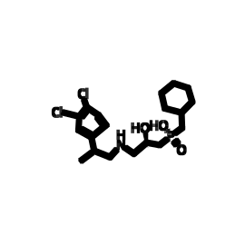 CC(CNC[C@@H](O)CP(=O)(O)CC1CCCCC1)c1ccc(Cl)c(Cl)c1